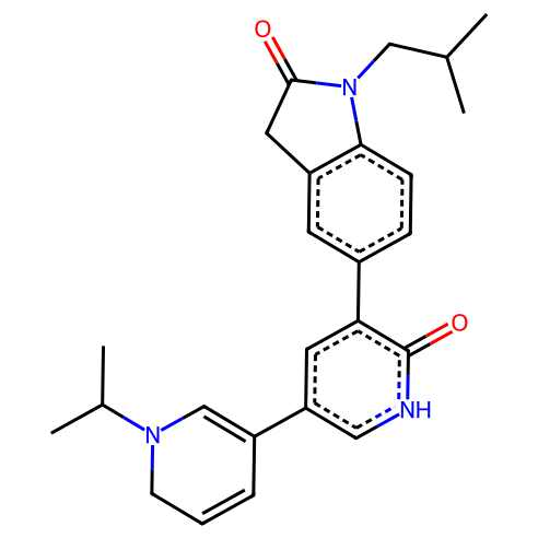 CC(C)CN1C(=O)Cc2cc(-c3cc(C4=CN(C(C)C)CC=C4)c[nH]c3=O)ccc21